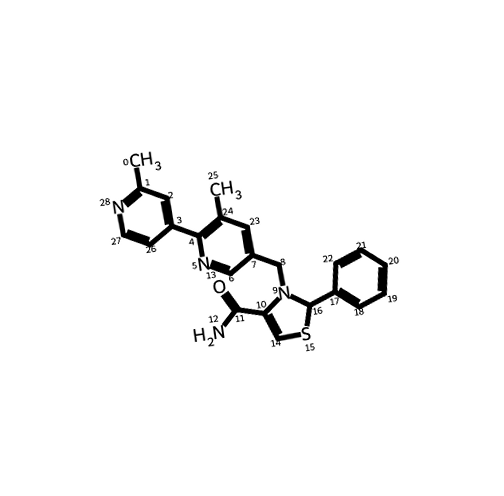 Cc1cc(-c2ncc(CN3C(C(N)=O)=CSC3c3ccccc3)cc2C)ccn1